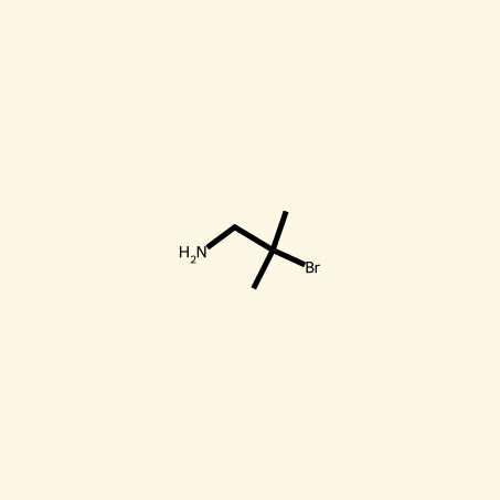 CC(C)(Br)CN